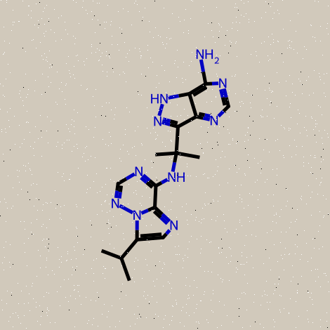 CC(C)c1cnc2c(NC(C)(C)c3n[nH]c4c(N)ncnc34)ncnn12